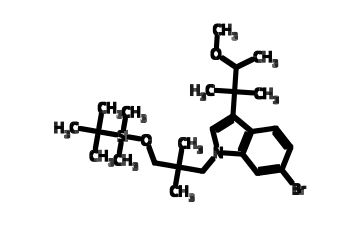 COC(C)C(C)(C)c1cn(CC(C)(C)CO[Si](C)(C)C(C)(C)C)c2cc(Br)ccc12